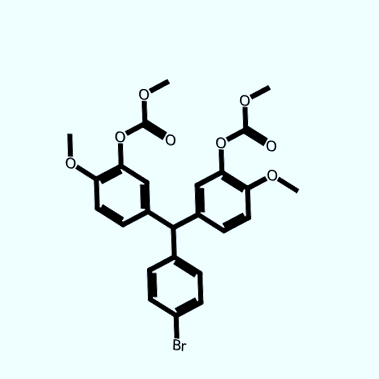 COC(=O)Oc1cc(C(c2ccc(Br)cc2)c2ccc(OC)c(OC(=O)OC)c2)ccc1OC